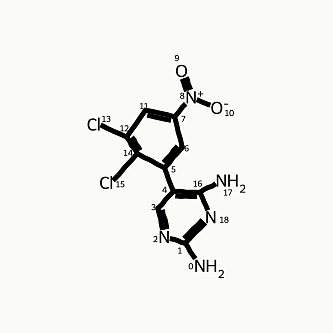 Nc1ncc(-c2cc([N+](=O)[O-])cc(Cl)c2Cl)c(N)n1